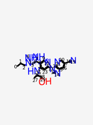 CCCN(N)/C=C(\N)c1cnc(-n2cnc3cc(C#N)cnc32)cc1NC(C)CO